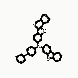 c1ccc(-c2ccc(N(c3ccc4c(c3)oc3c5ccccc5cnc43)c3ccc4c(c3)sc3ccccc34)cc2)cc1